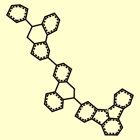 c1ccc(C2Cc3ccc(-c4ccc5c(c4)-c4ccccc4C(c4ccc6c7cccc8c9ccccc9n(c6c4)c87)C5)cc3-c3ccccc32)cc1